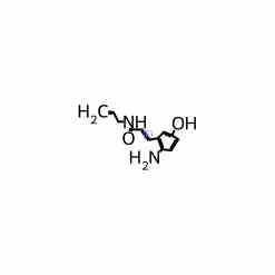 C=CCNC(=O)/C=C/c1cc(O)ccc1N